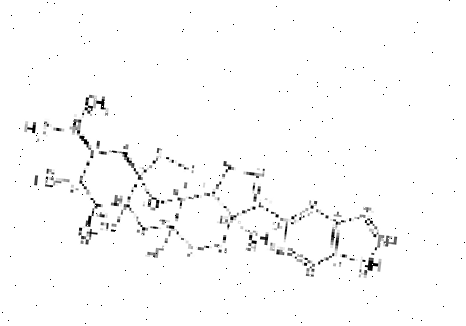 CN(C)[C@H]1C[C@@]23CC[C@]4(O2)C2CC=C(c5ccc6[nH]ncc6c5)[C@@]2(C)CCC4(F)CC3(F)[C@@H](O)[C@@H]1O